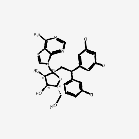 Nc1ncnc2c1ncn2[C@]1(CC(c2cccc(Cl)c2)c2cc(Cl)cc(Cl)c2)O[C@H](CO)[C@@H](O)[C@H]1O